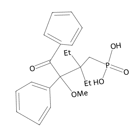 CCC(CC)(CP(=O)(O)O)C(OC)(C(=O)c1ccccc1)c1ccccc1